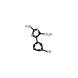 CCOC(=O)c1sc(N)nc1-c1cccc(C#N)c1